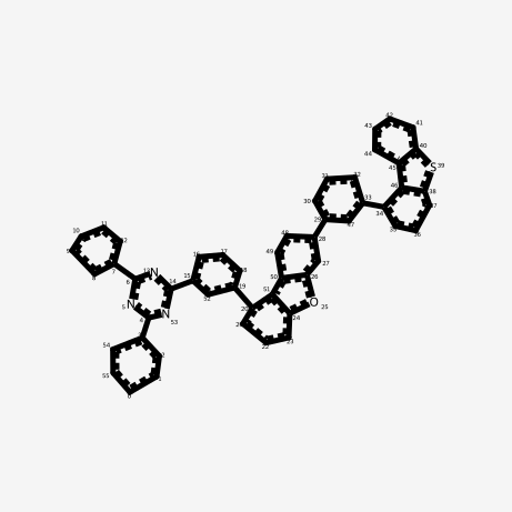 c1ccc(-c2nc(-c3ccccc3)nc(-c3cccc(-c4cccc5oc6cc(-c7cccc(-c8cccc9sc%10ccccc%10c89)c7)ccc6c45)c3)n2)cc1